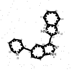 c1ccc(-c2ccc3[nH]nc(-c4nc5ccccc5[nH]4)c3c2)nc1